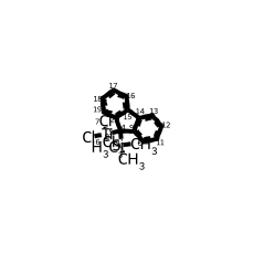 C[Si](C)(C)[C]1([Ti]([Cl])([Cl])[Cl])c2ccccc2-c2ccccc21